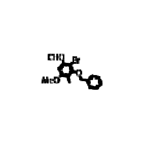 COc1cc(C=O)c(Br)c(OCc2ccccc2)c1C